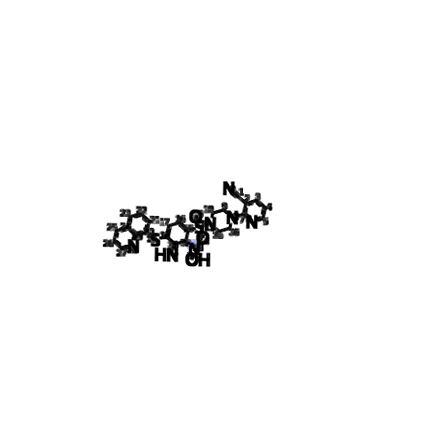 N#Cc1cccnc1N1CCN(S(=O)(=O)C2=CC=C(Sc3cccc4cccnc34)C(=N)/C2=N\O)CC1